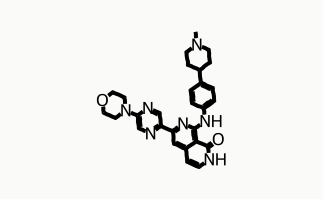 CN1CCC(c2ccc(Nc3nc(-c4cnc(N5CCOCC5)cn4)cc4cc[nH]c(=O)c34)cc2)CC1